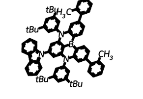 Cc1ccccc1-c1ccc2c(c1)N(c1cc(C(C)(C)C)cc(C(C)(C)C)c1)c1cc(-n3c4ccccc4c4ccccc43)cc3c1B2c1ccc(-c2ccccc2C)cc1N3c1cc(C(C)(C)C)cc(C(C)(C)C)c1